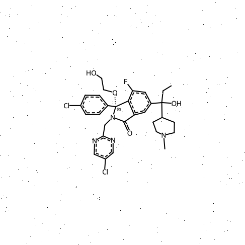 CCC(O)(c1cc(F)c2c(c1)C(=O)N(Cc1ncc(Cl)cn1)[C@@]2(OCCO)c1ccc(Cl)cc1)C1CCN(C)CC1